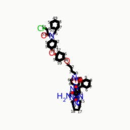 Nc1nnc(-c2ccccc2O)cc1N1CC2CCC(C1)N2c1ncc(C2CCN(CCCCOc3ccc(Oc4ccc(N(Cc5ccccc5)C(=O)CCl)cc4)cc3)CC2)cn1